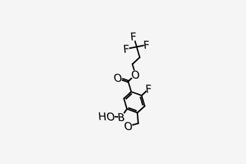 O=C(OCCC(F)(F)F)c1cc2c(cc1F)COB2O